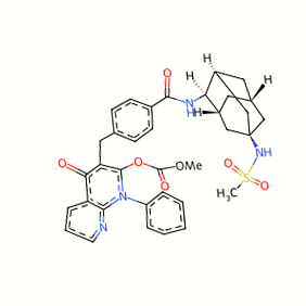 COC(=O)Oc1c(Cc2ccc(C(=O)N[C@@H]3[C@@H]4C[C@@H]5C[C@H]3C[C@](NS(C)(=O)=O)(C5)C4)cc2)c(=O)c2cccnc2n1-c1ccccc1